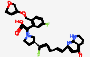 COc1cc(CCCCC(F)[C@@H]2CCN(C(C(=O)O)c3cc(F)ccc3COC3CCOC3)C2)nc2c1CCCN2